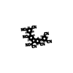 N#Cc1cc(C#N)cc(-c2cc3c(cc2C#N)C(C(C#N)C#N)c2cc(C#N)c(-c4cc(C#N)cc(C#N)c4)cc2-3)c1